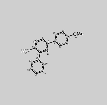 COc1ccc(-c2cnc(N)c(-c3ccccc3)n2)cc1